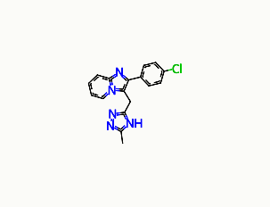 Cc1nnc(Cc2c(-c3ccc(Cl)cc3)nc3ccccn23)[nH]1